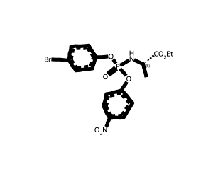 CCOC(=O)[C@H](C)NP(=O)(Oc1ccc(Br)cc1)Oc1ccc([N+](=O)[O-])cc1